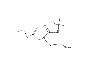 CCOC(=O)CN(CCOC)C(=O)OC(C)(C)C